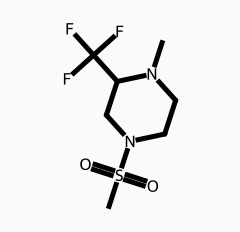 CN1CCN(S(C)(=O)=O)CC1C(F)(F)F